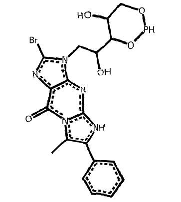 Cc1c(-c2ccccc2)[nH]c2nc3c(nc(Br)n3CC(O)C3OPOCC3O)c(=O)n12